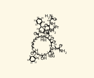 CC[C@H](C)[C@@H]1NC(=O)[C@H](Cc2ccccc2)NC(=O)CCSCC[C@@H](C(=O)N(CCc2ccccc2)CC(=O)N[C@@H](CC(C)C)C(=O)NCC(N)=O)NN[C@@H](CC(N)=O)C(=O)C(=O)[C@H](CCC(N)=O)NC1=O